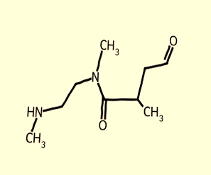 CNCCN(C)C(=O)C(C)CC=O